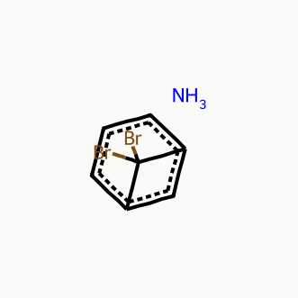 BrC1(Br)c2cccc1c2.N